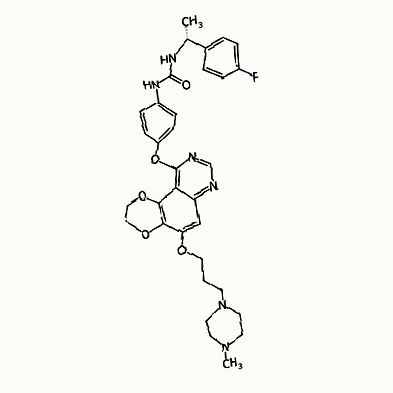 C[C@@H](NC(=O)Nc1ccc(Oc2ncnc3cc(OCCCN4CCN(C)CC4)c4c(c23)OCCO4)cc1)c1ccc(F)cc1